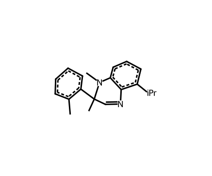 Cc1ccccc1C1(C)C=Nc2c(C(C)C)cccc2N1C